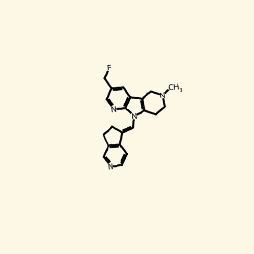 CN1CCc2c(c3cc(CF)cnc3n2/C=C2\CCc3cnccc32)C1